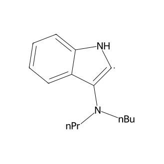 CCCCN(CCC)c1[c][nH]c2ccccc12